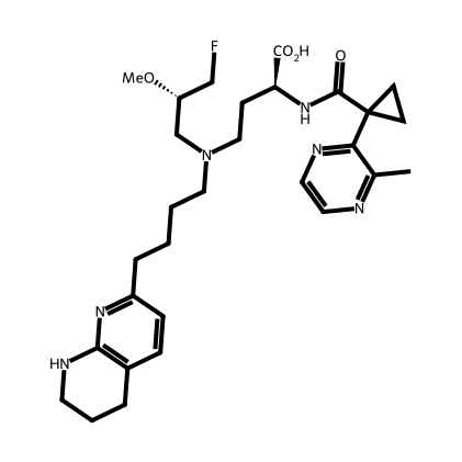 CO[C@H](CF)CN(CCCCc1ccc2c(n1)NCCC2)CC[C@H](NC(=O)C1(c2nccnc2C)CC1)C(=O)O